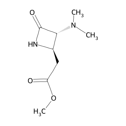 COC(=O)C[C@H]1NC(=O)[C@@H]1N(C)C